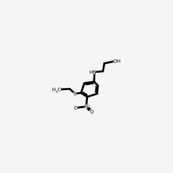 CCSc1cc(NCCO)ccc1[N+](=O)[O-]